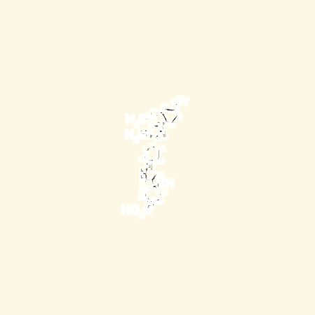 CC(C)c1cccc(O[C@H](C)c2nnc([C@H]3CC[C@H](n4cc(C5(O)CCN(C(=O)O)CC5)nn4)CC3)n2C)c1